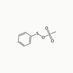 CS(=O)(=O)OSc1cc[c]cc1